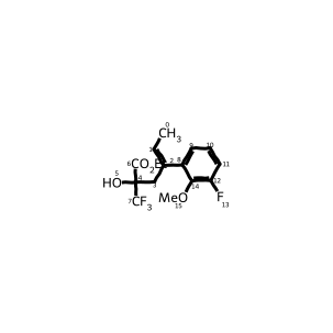 C/C=C(/CC(O)(C(=O)OCC)C(F)(F)F)c1cccc(F)c1OC